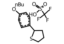 CCCCOc1ccc(C2CCCS2)cc1.O=S(=O)(O)C(F)(F)F